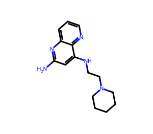 Nc1cc(NCCN2CCCCC2)c2ncccc2n1